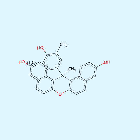 Cc1cc(C2(C)c3c(ccc4cc(O)ccc34)Oc3ccc4cc(O)ccc4c32)cc(C)c1O